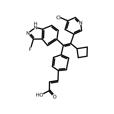 O=C(O)C=Cc1ccc(C(=C(c2cncc(Cl)c2)C2CCC2)c2ccc3[nH]nc(F)c3c2)cc1